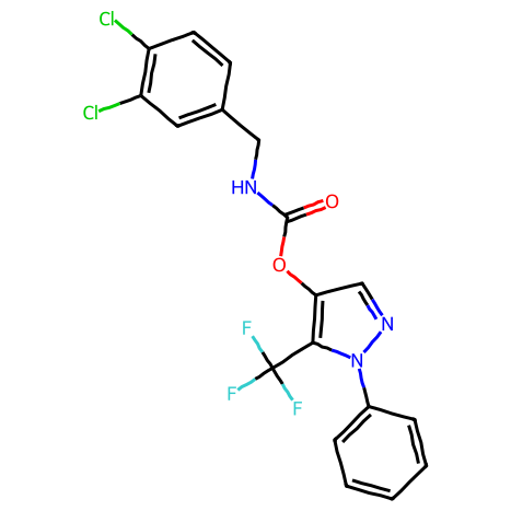 O=C(NCc1ccc(Cl)c(Cl)c1)Oc1cnn(-c2ccccc2)c1C(F)(F)F